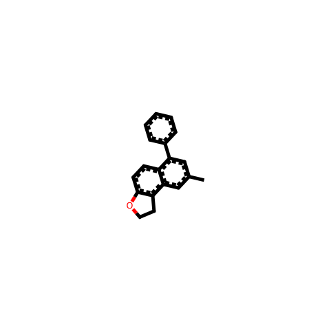 Cc1cc(-c2ccccc2)c2ccc3c(c2c1)CCO3